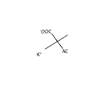 [C-]#[N+]C(C)(C)C(=O)[O-].[K+]